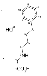 Cl.O=C(O)CNCCCCc1ccccc1